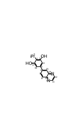 CC(C)c1c(O)cc(-c2ccc3nccnc3c2)cc1O